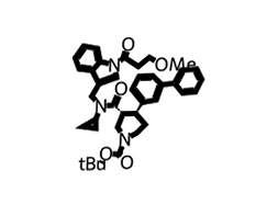 COCCC(=O)n1cc(CN(C(=O)[C@H]2CN(C(=O)OC(C)(C)C)CC[C@@H]2c2cccc(-c3ccccc3)c2)C2CC2)c2ccccc21